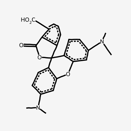 CN(C)c1ccc2c(c1)Oc1cc(N(C)C)ccc1C21OC(=O)c2c(C(=O)O)cccc21